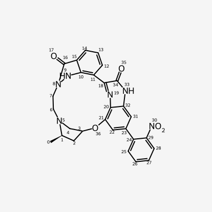 C[C@@H]1CC2CN1CCn1[nH]c3c(cccc3c1=O)-c1nc3c(cc(-c4ccccc4[N+](=O)[O-])cc3[nH]c1=O)O2